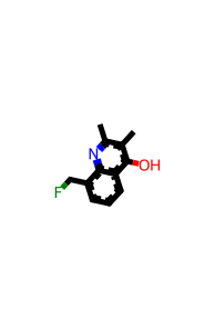 Cc1nc2c(CF)cccc2c(O)c1C